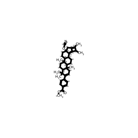 COC(=O)c1ccc(C2=CCC3(C)C(CCC4(C)C5CCC6(OC#N)CC7=C(C)C(C)C7=C6C5CCC43)C2(C)C)cc1